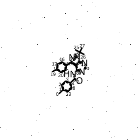 Cc1ccc(C(=O)Nc2ncnc3c2c(-c2ccc(C)cc2)nn3C(C)(C)C)cc1